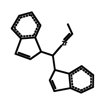 C[CH]=[Zr][CH](C1C=Cc2ccccc21)C1C=Cc2ccccc21